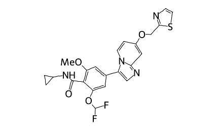 COc1cc(-c2cnc3cc(OCc4nccs4)ccn23)cc(OC(F)F)c1C(=O)NC1CC1